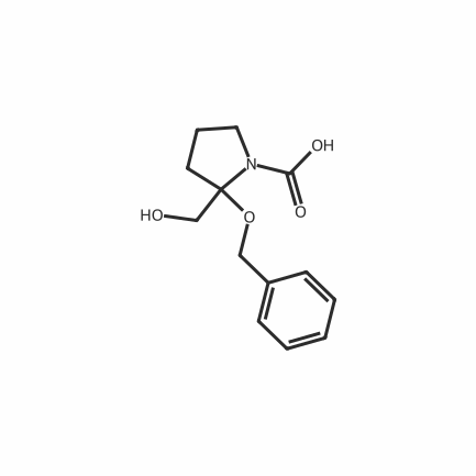 O=C(O)N1CCCC1(CO)OCc1ccccc1